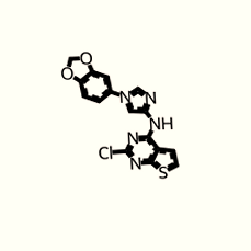 Clc1nc(Nc2cn(-c3ccc4c(c3)OCO4)cn2)c2ccsc2n1